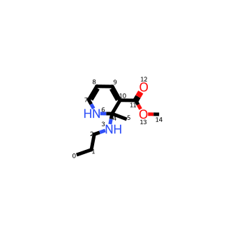 CCCNC1(C)NC=CC=C1C(=O)OC